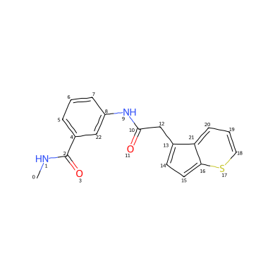 CNC(=O)c1cccc(NC(=O)Cc2ccc3scccc2-3)c1